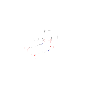 CCCCCC[C@@H](O)C/C=C\CCCCCCCC(=O)[O-].CCCCCC[C@@H](O)C/C=C\CCCCCCCC(=O)[O-].[Cu+2]